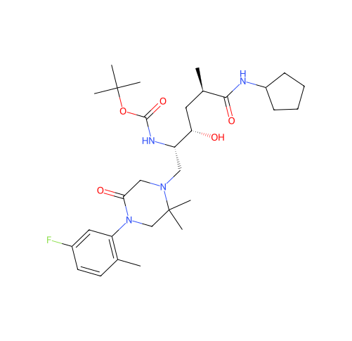 Cc1ccc(F)cc1N1CC(C)(C)N(C[C@H](NC(=O)OC(C)(C)C)[C@@H](O)C[C@@H](C)C(=O)NC2CCCC2)CC1=O